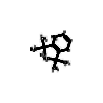 CC(C)(C)C1=C(C(C)(C)C)NN=CC1